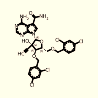 C#C[C@]1(O)[C@H](OCc2ccc(Cl)cc2Cl)[C@@H](COCc2ccc(Cl)cc2Cl)O[C@H]1n1cc(C(N)=O)c2c(N)ncnc21